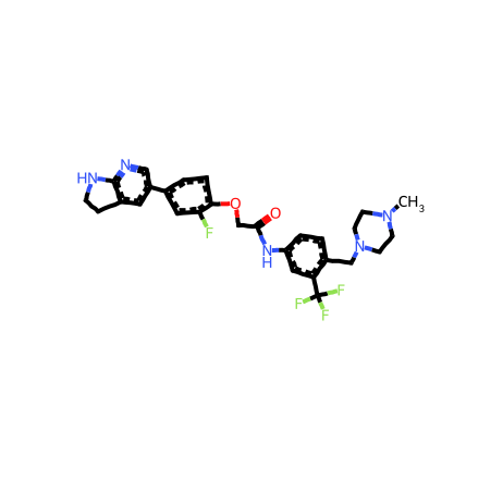 CN1CCN(Cc2ccc(NC(=O)COc3ccc(-c4cnc5c(c4)CCN5)cc3F)cc2C(F)(F)F)CC1